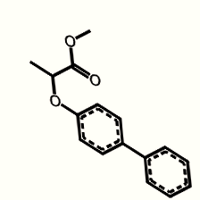 COC(=O)C(C)Oc1ccc(-c2ccccc2)cc1